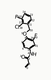 C=CC(=O)Nc1ccc(OCc2cccc(F)c2Cl)c(F)c1